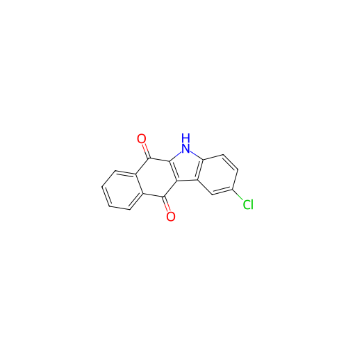 O=C1c2ccccc2C(=O)c2c1[nH]c1ccc(Cl)cc21